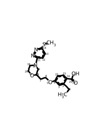 CCc1cc(OCCC2CN(c3ccc(SC)nn3)CCO2)ccc1C(=O)O